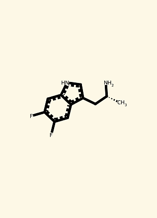 C[C@@H](N)Cc1c[nH]c2cc(F)c(F)cc12